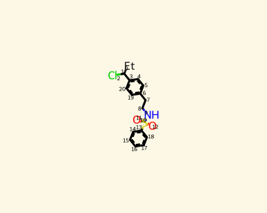 CCC(Cl)c1ccc(CCNS(=O)(=O)c2ccccc2)cc1